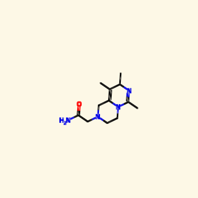 CC1=NC(C)C(C)=C2CN(CC(N)=O)CCN12